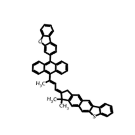 C/C(=C\C=C1/Cc2cc3cc4c(cc3cc2C1(C)C)sc1ccccc14)c1c2ccccc2c(-c2ccc3c(c2)oc2ccccc23)c2ccccc12